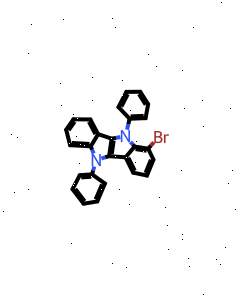 Brc1cccc2c1n(-c1ccccc1)c1c3ccccc3n(-c3ccccc3)c21